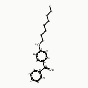 CCCCCCCCOc1c[c]c(C(=O)c2ccccc2)cc1